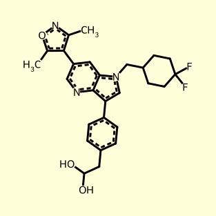 Cc1noc(C)c1-c1cnc2c(-c3ccc(CC(O)O)cc3)cn(CC3CCC(F)(F)CC3)c2c1